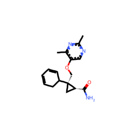 Cc1ncc(OC[C@@]2(C3C=CC=CC3)C[C@H]2C(N)=O)c(C)n1